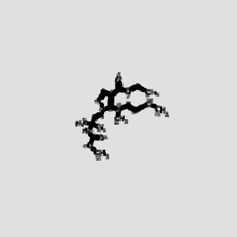 CCOC(=O)c1cnn(/C=C/C(C)(C)NC(=O)OC)c1N(C)CCOC